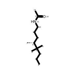 CCCC(C)(C)[C@H](C)CCCNC(C)=O